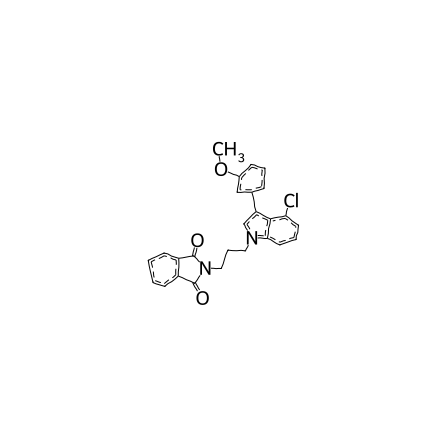 COc1cccc(-c2cn(CCCN3C(=O)c4ccccc4C3=O)c3cccc(Cl)c23)c1